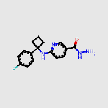 NNC(=O)c1ccc(NC2(c3ccc(F)cc3)CCC2)nc1